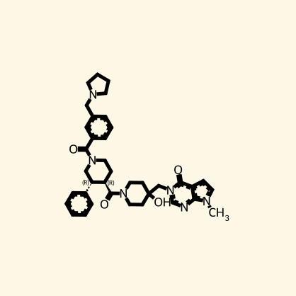 Cn1ccc2c(=O)n(CC3(O)CCN(C(=O)[C@@H]4CCN(C(=O)c5cccc(CN6CCCC6)c5)C[C@H]4c4ccccc4)CC3)cnc21